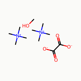 CO.C[N+](C)(C)C.C[N+](C)(C)C.O=C([O-])C(=O)[O-]